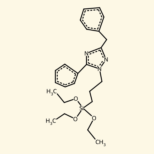 CCO[Si](CCCn1nc(Cc2ccccc2)nc1-c1ccccc1)(OCC)OCC